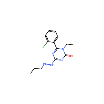 CCCNNc1nc(-c2ccccc2Cl)n(CC)c(=O)n1